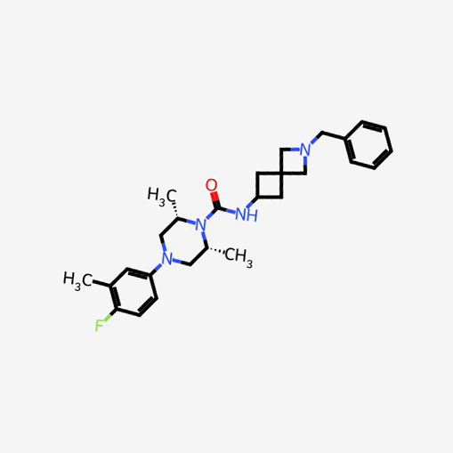 Cc1cc(N2C[C@@H](C)N(C(=O)NC3CC4(C3)CN(Cc3ccccc3)C4)[C@@H](C)C2)ccc1F